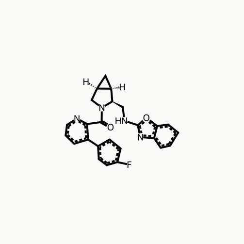 O=C(c1ncccc1-c1ccc(F)cc1)N1C[C@H]2C[C@H]2[C@H]1CNc1nc2ccccc2o1